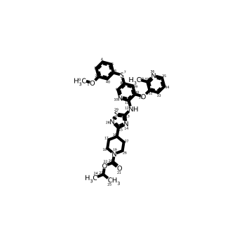 COc1cccc(Sc2cnc(Nc3nc(C4CCN(C(=O)OC(C)C)CC4)ns3)c(Oc3cccnc3C)c2)c1